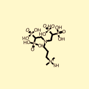 C[N+](C)(S)CCCN(CC(P(=O)(O)O)P(=O)(O)O)CC(P(=O)(O)O)P(=O)(O)O